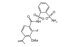 C=C(C)c1ccc(C(=O)NS(=O)(=O)c2ccccc2S(N)(=O)=O)c(F)c1OC